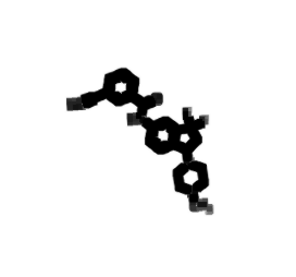 C#Cc1cccc(C(=O)Nc2ccc3c(c2)C(F)(F)CC3N2CCN(C)CC2)c1